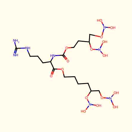 N=C(N)NCCCC(NC(=O)OCCC(CON(O)O)ON(O)O)C(=O)OCCCCC(CON(O)O)ON(O)O